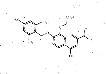 CCN(CC)C(=O)/C=C(/C)c1ccc(OCc2c(C)cc(C)cc2C)c(OCC(=O)O)c1